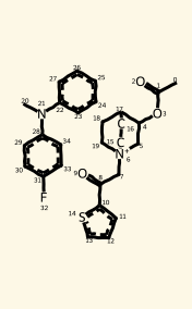 CC(=O)OC1C[N+]2(CC(=O)c3cccs3)CCC1CC2.CN(c1ccccc1)c1ccc(F)cc1